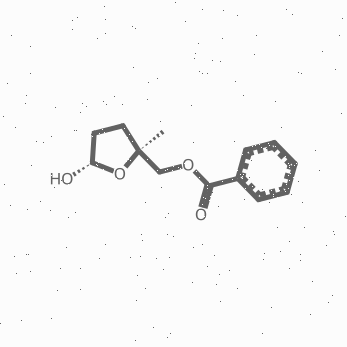 C[C@@]1(COC(=O)c2ccccc2)CC[C@@H](O)O1